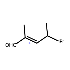 C/C(C=O)=C\C(C)C(C)C